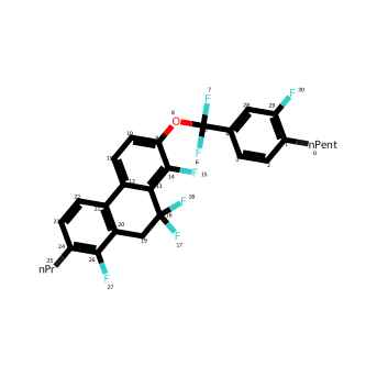 CCCCCc1ccc(C(F)(F)Oc2ccc3c(c2F)C(F)(F)Cc2c-3ccc(CCC)c2F)cc1F